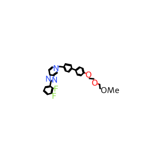 COCCOCCOc1ccc(-c2ccc(Cn3ccc4nc(-c5cccc(F)c5F)nc-4c3)cc2)cc1